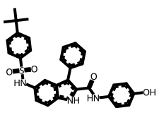 CC(C)(C)c1ccc(S(=O)(=O)Nc2ccc3[nH]c(C(=O)Nc4ccc(O)cc4)c(-c4ccccc4)c3c2)cc1